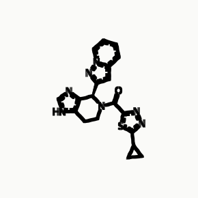 O=C(c1nnc(C2CC2)s1)N1CCc2[nH]cnc2[C@H]1c1cc2ccccn2n1